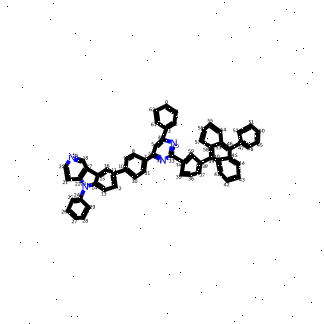 c1ccc(-c2cc(-c3ccc(-c4ccc5c(c4)c4cnccc4n5-c4ccccc4)cc3)nc(-c3cccc(-c4c5ccccc5c(-c5ccccc5)c5ccccc45)c3)n2)cc1